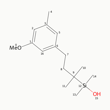 COc1cc(C)cc(CCC(C)(C)[Si](C)(C)O)c1